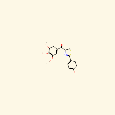 COC1=C(OC)C(OC)CC(C(=O)C2CSC(C3=CC=C(O)CC3)=N2)=C1